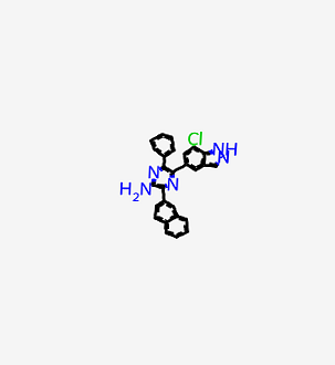 Nc1nc(-c2ccccc2)c(-c2cc(Cl)c3[nH]ncc3c2)nc1-c1ccc2ccccc2c1